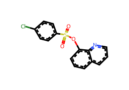 O=S(=O)(Oc1cccc2cccnc12)c1ccc(Cl)cc1